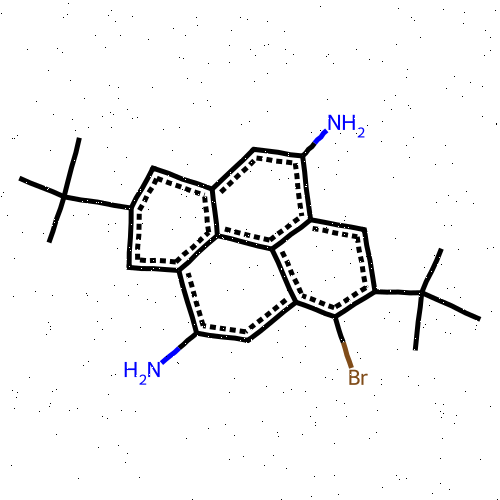 CC(C)(C)c1cc2cc(N)c3cc(C(C)(C)C)c(Br)c4cc(N)c(c1)c2c34